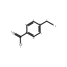 O=C(Cl)c1ccc(CI)cc1